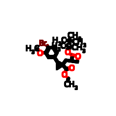 CCOC(=O)C1(CC2(CO[Si](C)(C)C(C)(C)C)COC2)CC1c1ccc(Br)c(OC)c1